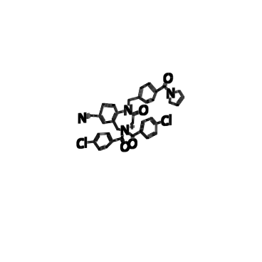 N#Cc1ccc2c(c1)C[N+](C(=O)c1ccc(Cl)cc1)(C(=O)c1ccc(Cl)cc1)CC(=O)N2Cc1ccc(C(=O)N2CC=CC2)cc1